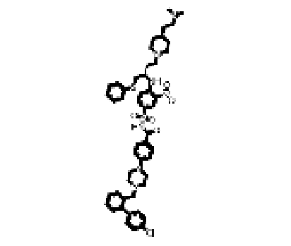 CN(C)CCC1CCN(CC[C@H](CSc2ccccc2)Nc2ccc(S(=O)(=O)NC(=O)c3ccc(N4CCN(Cc5ccccc5-c5ccc(Cl)cc5)CC4)cc3)cc2[N+](=O)[O-])CC1